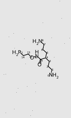 NCCCC(CCCN)C(=O)NOCCP